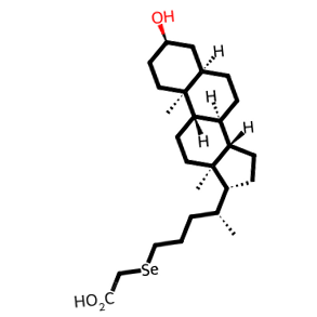 C[C@H](CCC[Se]CC(=O)O)[C@H]1CC[C@H]2[C@@H]3CC[C@@H]4C[C@H](O)CC[C@]4(C)[C@H]3CC[C@]12C